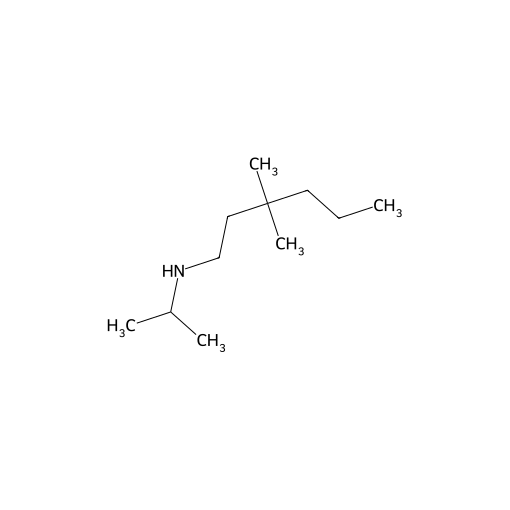 CCCC(C)(C)CCNC(C)C